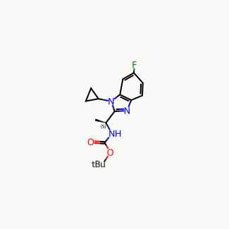 C[C@H](NC(=O)OC(C)(C)C)c1nc2ccc(F)cc2n1C1CC1